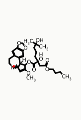 CCCCOC(=O)C[C@](O)(CCCC(C)(C)O)C(=O)OC1C(OC)=CC23CCCN2CCc2cc4c(cc2[C@H]13)OCO4